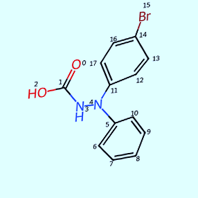 O=C(O)NN(c1ccccc1)c1ccc(Br)cc1